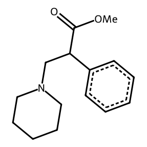 COC(=O)C(CN1CCCCC1)c1ccccc1